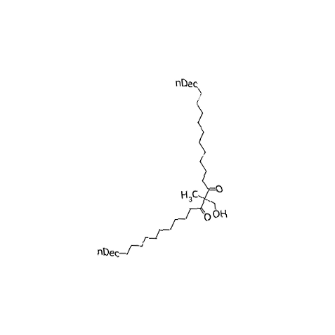 CCCCCCCCCCCCCCCCCCCCC(=O)C(C)(CO)C(=O)CCCCCCCCCCCCCCCCCCCC